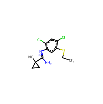 N#CC1(/C(N)=N/c2cc(SCC(F)(F)F)c(Cl)cc2Cl)CC1